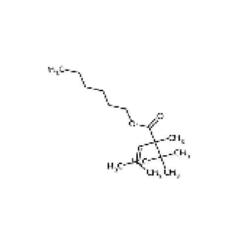 CCCCCCOC(=O)C(C)(C=C(C)C)C(C)(C)C